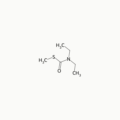 CCN(CC)C(=O)SC